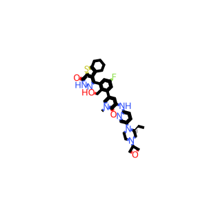 CC[C@H]1CN(C2COC2)CCN1c1ccc(Nc2cc(-c3cc(F)cc(-c4n[nH]c(=O)c5sc6c(c45)CCCC6)c3CO)cn(C)c2=O)nc1